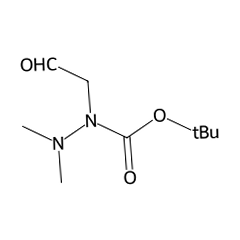 CN(C)N(CC=O)C(=O)OC(C)(C)C